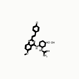 COc1ccc2nc(C=Cc3ccc(Cl)cc3)nc(N[C@H]3CCCC[C@H]3NC(=N)N)c2c1.Cl.Cl